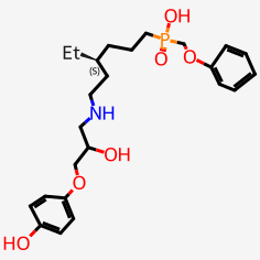 CC[C@@H](CCCP(=O)(O)COc1ccccc1)CCNCC(O)COc1ccc(O)cc1